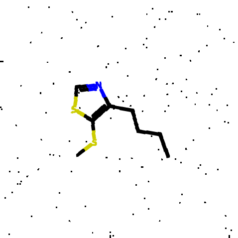 CCCCc1ncsc1SC